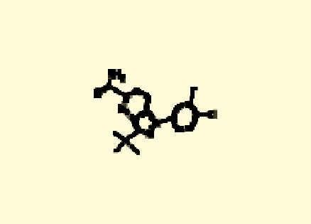 CC(C)(C)c1nn(-c2ccc(Cl)c(F)c2)c2ccc(C(N)=O)nc12